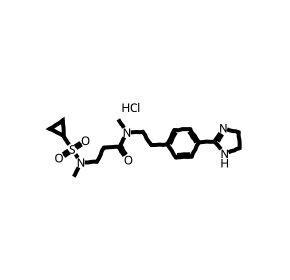 CN(CCc1ccc(C2=NCCN2)cc1)C(=O)CCN(C)S(=O)(=O)C1CC1.Cl